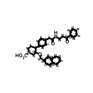 O=C(Cc1ccc(C2CCN(C(=O)O)CC2OCc2ccc3ccccc3c2)cc1)NCCC(=O)c1ccccc1